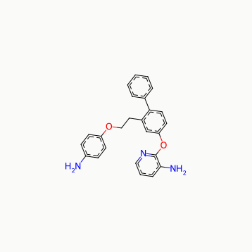 Nc1ccc(OCCc2cc(Oc3ncccc3N)ccc2-c2ccccc2)cc1